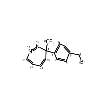 FC(F)(F)C1(c2ccc(CBr)cc2)C=CC=CN=N1